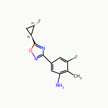 Cc1c(N)cc(-c2noc([C@H]3C[C@@H]3F)n2)cc1F